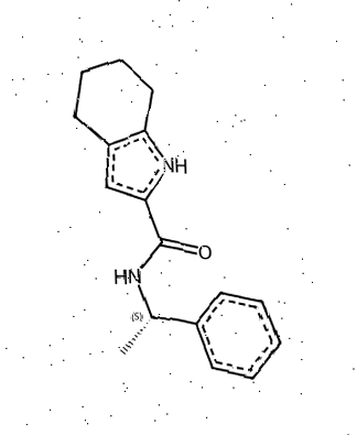 C[C@H](NC(=O)c1cc2c([nH]1)CCCC2)c1ccccc1